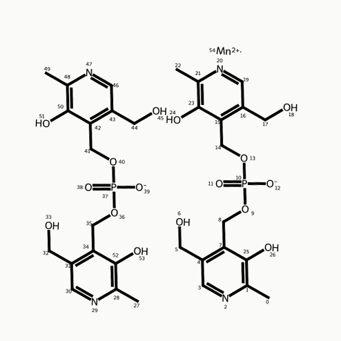 Cc1ncc(CO)c(COP(=O)([O-])OCc2c(CO)cnc(C)c2O)c1O.Cc1ncc(CO)c(COP(=O)([O-])OCc2c(CO)cnc(C)c2O)c1O.[Mn+2]